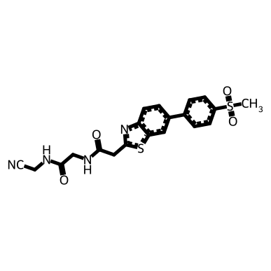 CS(=O)(=O)c1ccc(-c2ccc3nc(CC(=O)NCC(=O)NCC#N)sc3c2)cc1